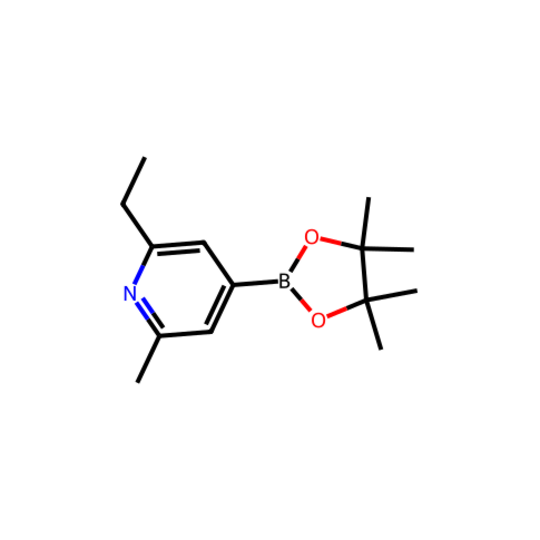 CCc1cc(B2OC(C)(C)C(C)(C)O2)cc(C)n1